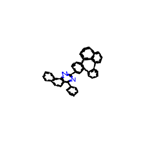 c1ccc(-c2nc(-c3ccc4c(c3)-c3ccccc3-c3cccc5cccc-4c35)nc3c2ccc2ccccc23)cc1